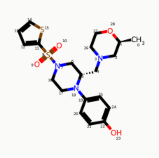 C[C@H]1CN(C[C@H]2CN(S(=O)(=O)c3cccs3)CCN2c2ccc(O)cc2)CCO1